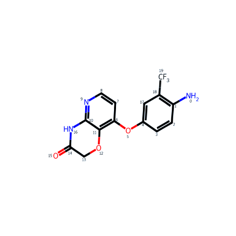 Nc1ccc(Oc2ccnc3c2OCC(=O)N3)cc1C(F)(F)F